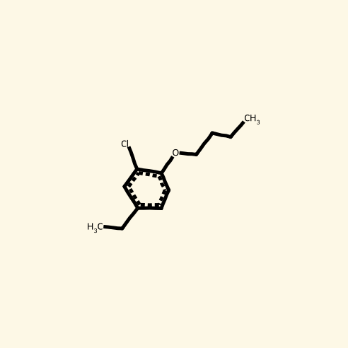 CCCCOc1ccc(CC)cc1Cl